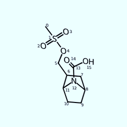 CS(=O)(=O)OCC1CC2CCC1N2C(=O)O